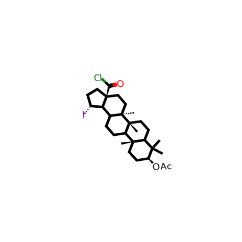 CC(=O)O[C@H]1CC[C@@]2(C)C(CC[C@]3(C)C2CCC2C4[C@H](I)CC[C@]4(C(=O)Cl)CC[C@]23C)C1(C)C